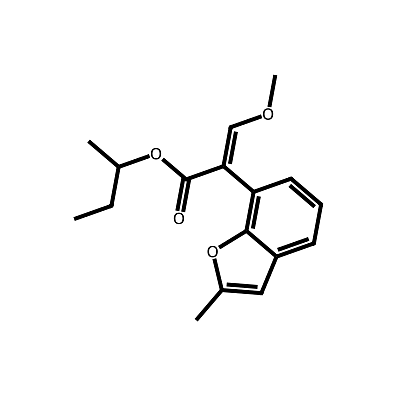 CCC(C)OC(=O)/C(=C/OC)c1cccc2cc(C)oc12